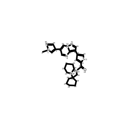 Cn1cc(-c2cnc3c(-c4csc(C(=O)NCC5(N6CCCCC6)CCCCC5)c4)cnn3c2)cn1